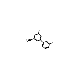 Cc1cccc(C2=CC(C)CC(C#N)=C2)c1